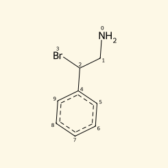 NCC(Br)c1ccccc1